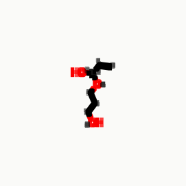 C=CB(O)OCCCO